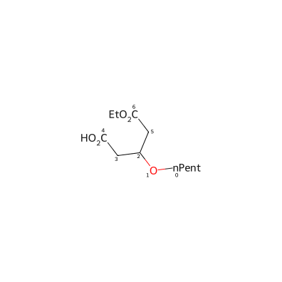 CCCCCOC(CC(=O)O)CC(=O)OCC